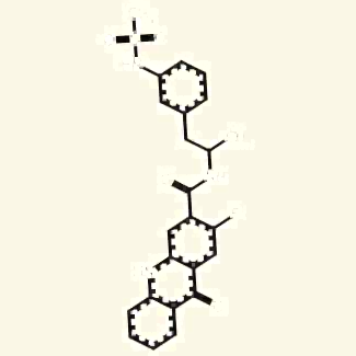 CC(Cc1cccc(NS(C)(=O)=O)c1)NC(=O)c1cc2[nH]c3ccccc3c(=O)c2cc1F